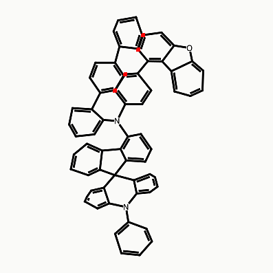 c1ccc(-c2ccc(-c3ccccc3N(c3ccc(-c4cccc5oc6ccccc6c45)cc3)c3cccc4c3-c3ccccc3C43c4ccccc4N(c4ccccc4)c4ccccc43)cc2)cc1